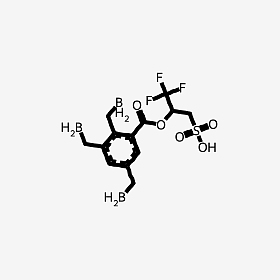 BCc1cc(CB)c(CB)c(C(=O)OC(CS(=O)(=O)O)C(F)(F)F)c1